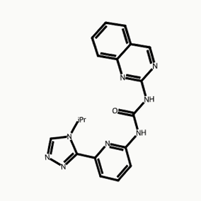 CC(C)n1cnnc1-c1cccc(NC(=O)Nc2ncc3ccccc3n2)n1